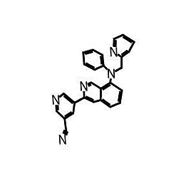 N#Cc1cncc(-c2cc3cccc(N(Cc4ccccn4)c4ccccc4)c3cn2)c1